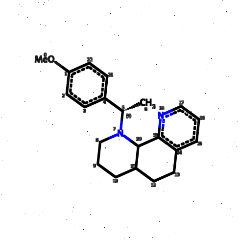 COc1ccc([C@H](C)N2CCCC3CCc4cccnc4C32)cc1